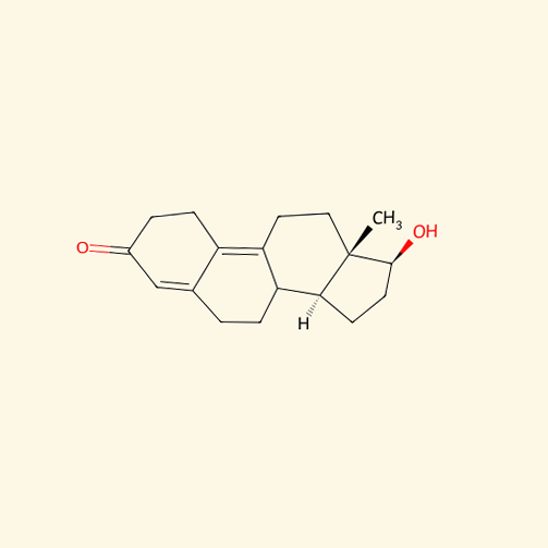 C[C@]12CCC3=C4CCC(=O)C=C4CCC3[C@@H]1CC[C@@H]2O